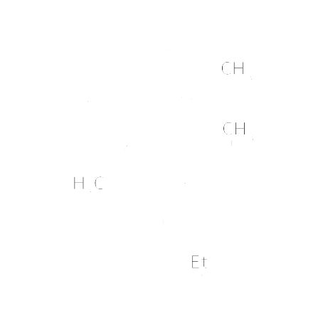 CCC=CC1=C(C)C=CCC1(C)C